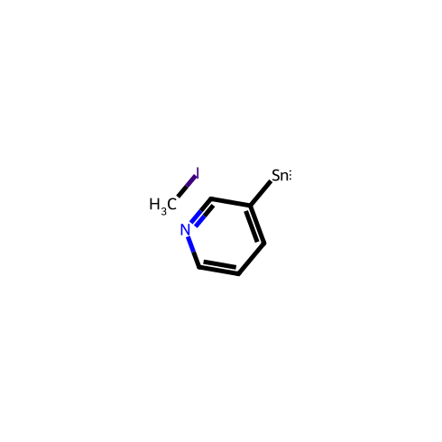 CI.[Sn][c]1cccnc1